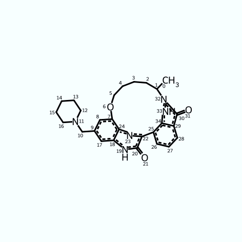 CC1CCCCOc2cc(CN3CCCCC3)cc3[nH]c(=O)c(nc23)-c2cccc3c(=O)n1[nH]c23